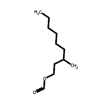 CCCCCCC(C)CCOC=O